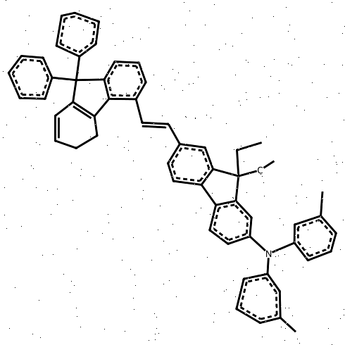 CCC1(CC)c2cc(/C=C/c3cccc4c3C3=C(C=CCC3)C4(c3ccccc3)c3ccccc3)ccc2-c2ccc(N(c3cccc(C)c3)c3cccc(C)c3)cc21